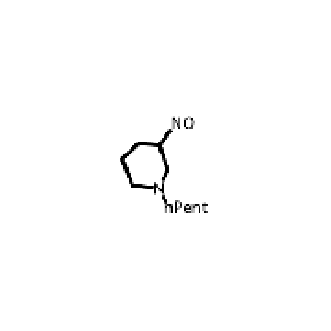 CCCCCN1CCCC(N=O)C1